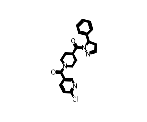 O=C(c1ccc(Cl)nc1)N1CCC(C(=O)N2N=CCC2c2ccccc2)CC1